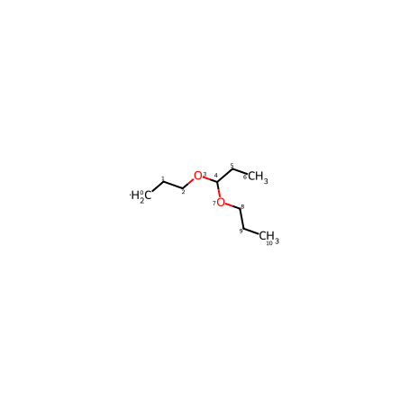 [CH2]CCOC(CC)OCCC